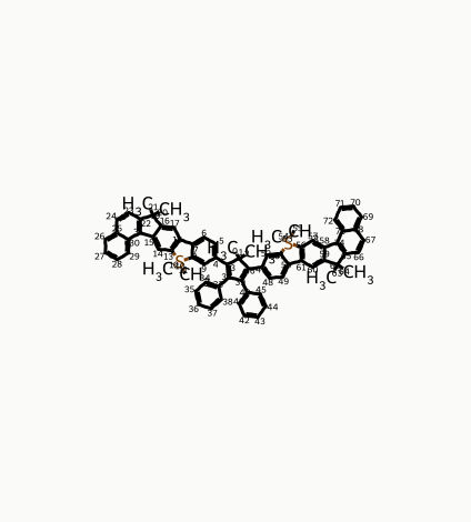 CC1(C)C(c2ccc3c(c2)S(C)(C)c2cc4c(cc2-3)C(C)(C)c2ccc3ccccc3c2-4)=C(c2ccccc2)C(c2ccccc2)=C1c1ccc2c(c1)S(C)(C)c1cc3c(cc1-2)C(C)(C)c1ccc2ccccc2c1-3